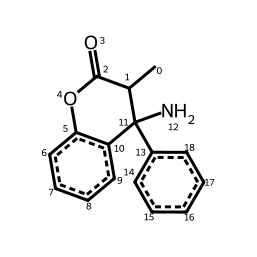 CC1C(=O)Oc2ccccc2C1(N)c1ccccc1